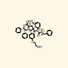 C[C@]12C=CC=CC1[C@]1(C(=O)N2C(=O)NCc2ccccc2)[C@H](c2ccc(OCCO)cc2)N2[C@H](c3ccccc3)[C@H](c3ccccc3)OC(=O)[C@H]2[C@@H]1C(=O)O